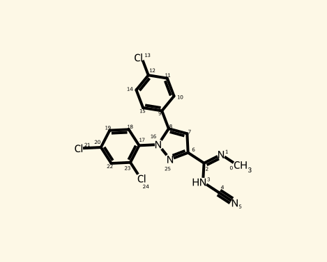 CN=C(NC#N)c1cc(-c2ccc(Cl)cc2)n(-c2ccc(Cl)cc2Cl)n1